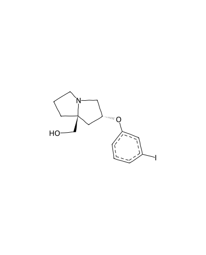 OC[C@@]12CCCN1C[C@H](Oc1cccc(I)c1)C2